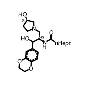 CCCCCCCC(=O)N[C@H](CN1CC[C@@H](O)C1)C(O)c1ccc2c(c1)OCCO2